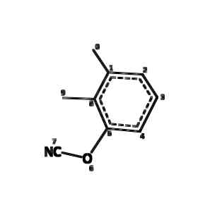 Cc1cccc(OC#N)c1C